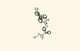 CCC(C)C(=O)OCC1COB(OC)O1